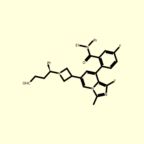 CCN(C(=O)c1cc(F)ccc1-c1cc(C2CN([C@@H](CCC=O)C(C)C)C2)cn2c(C)nc(F)c12)C(C)C